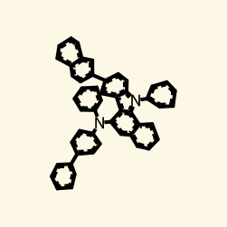 c1ccc(-c2ccc(N(c3ccccc3)c3cc4ccccc4c4c3c3cc(-c5ccc6ccccc6c5)ccc3n4-c3ccccc3)cc2)cc1